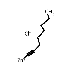 CCCCCCC#[C][Zn+].[Cl-]